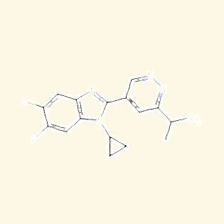 CC(N)c1cc(-c2nc3cc(F)c(F)cc3n2C2CC2)cnn1